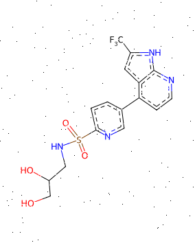 O=S(=O)(NCC(O)CO)c1ccc(-c2ccnc3[nH]c(C(F)(F)F)cc23)cn1